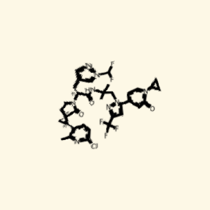 Cc1nc(Cl)ccc1[C@H]1C[C@@]12CCN([C@H](Cc1cnn(C(F)F)c1)C(=O)NC(C)(C)Cn1nc(C(F)(F)F)cc1-c1ccn(C3CC3)c(=O)c1)C2=O